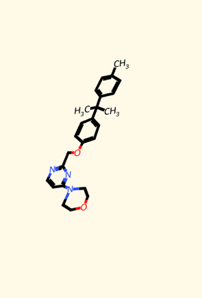 Cc1ccc(C(C)(C)c2ccc(OCc3nccc(N4CCOCC4)n3)cc2)cc1